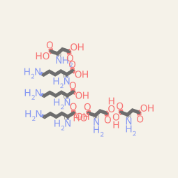 NCCCC[C@H](N)C(=O)O.NCCCC[C@H](N)C(=O)O.NCCCC[C@H](N)C(=O)O.N[C@@H](CC(=O)O)C(=O)O.N[C@@H](CC(=O)O)C(=O)O.N[C@@H](CC(=O)O)C(=O)O